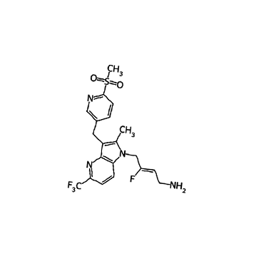 Cc1c(Cc2ccc(S(C)(=O)=O)nc2)c2nc(C(F)(F)F)ccc2n1C/C(F)=C/CN